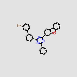 Brc1cccc(-c2cccc(-c3nc(-c4ccccc4)nc(-c4ccc5c(c4)oc4ccccc45)n3)c2)c1